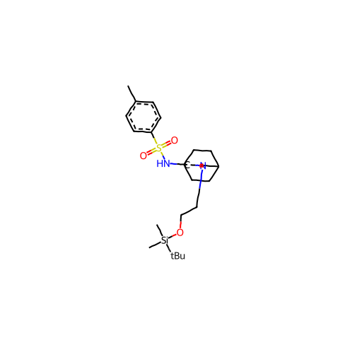 Cc1ccc(S(=O)(=O)NC23CCC(CC2)CN(CCO[Si](C)(C)C(C)(C)C)C3)cc1